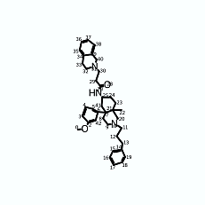 COc1cccc(C23CCN(CCCc4ccccc4)CC2(C)CCC(NC(=O)CCN2CCc4ccccc4C2)C3)c1